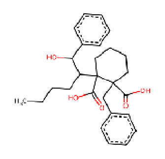 CCCCC(C(O)c1ccccc1)C1(C(=O)O)CCCCC1(Cc1ccccc1)C(=O)O